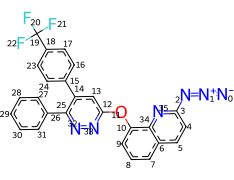 [N-]=[N+]=Nc1ccc2cccc(Oc3cc(-c4ccc(C(F)(F)F)cc4)c(-c4ccccc4)nn3)c2n1